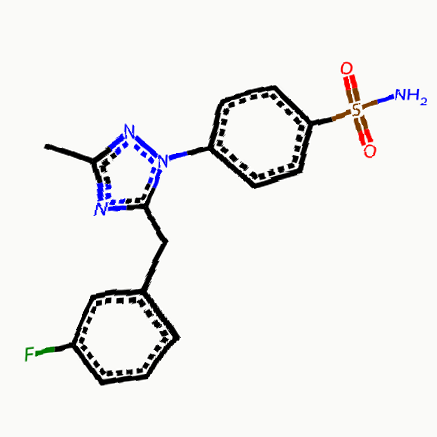 Cc1nc(Cc2cccc(F)c2)n(-c2ccc(S(N)(=O)=O)cc2)n1